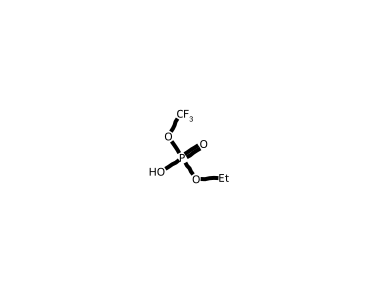 CCOP(=O)(O)OC(F)(F)F